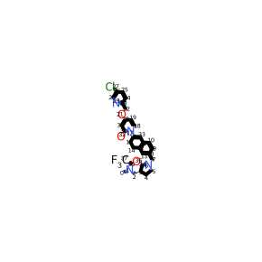 CN(C[C@H]1CCN(Cc2ccc3c(c2)CCC(n2ccc(OCc4ccc(Cl)cn4)cc2=O)=C3)C1)C(=O)C(F)(F)F